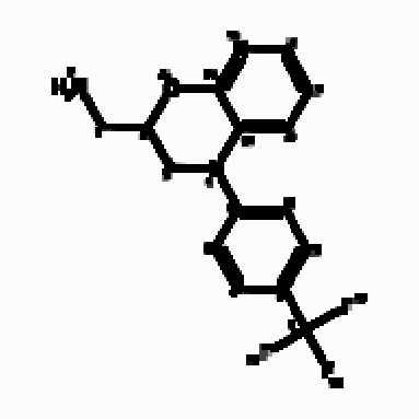 NCC1CN(c2ccc(C(F)(F)F)cc2)c2cccnc2O1